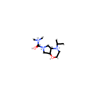 CC(C)N1CCOC2CN(C(=O)N(C)C)CC21